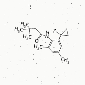 Cc1cc(C)c(NC(=O)CC(C)(C)C)c(C2(F)CC2)c1